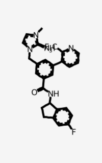 Cn1ccn(Cc2cc(C(=O)NC3CCc4cc(F)ccc43)cc(-c3cccnc3C(F)(F)F)c2)c1=N